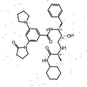 C[C@H](NC[C@@H](O)[C@H](Cc1ccccc1)NC(=O)c1cc(N2CCCC2)cc(N2CCCC2=O)c1)C(=O)NC1CCCCC1